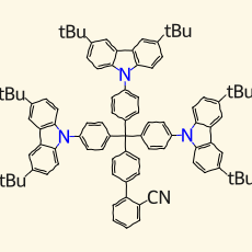 CC(C)(C)c1ccc2c(c1)c1cc(C(C)(C)C)ccc1n2-c1ccc(C(c2ccc(-c3ccccc3C#N)cc2)(c2ccc(-n3c4ccc(C(C)(C)C)cc4c4cc(C(C)(C)C)ccc43)cc2)c2ccc(-n3c4ccc(C(C)(C)C)cc4c4cc(C(C)(C)C)ccc43)cc2)cc1